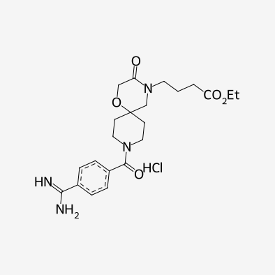 CCOC(=O)CCCN1CC2(CCN(C(=O)c3ccc(C(=N)N)cc3)CC2)OCC1=O.Cl